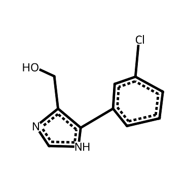 OCc1nc[nH]c1-c1cccc(Cl)c1